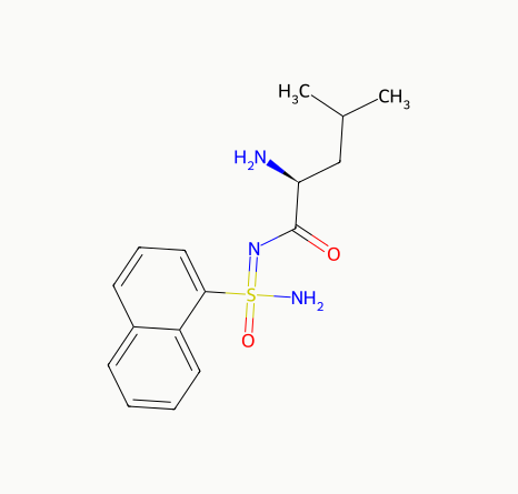 CC(C)C[C@H](N)C(=O)N=S(N)(=O)c1cccc2ccccc12